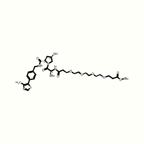 Cc1ncsc1-c1ccc(CNC(=O)[C@@H]2C[C@@H](O)CN2C(=O)[C@@H](NC(=O)CCOCCOCCOCCOCCC(=O)OC(C)(C)C)C(C)(C)C)cc1